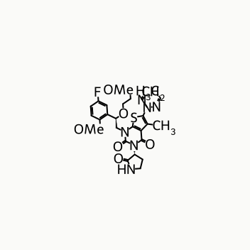 C=NN(/N=C\C)c1sc2c(c1C)c(=O)n([C@@H]1CCNC1=O)c(=O)n2C[C@H](OCCOC)c1cc(F)ccc1OC